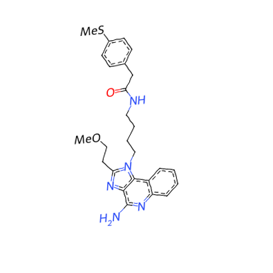 COCCc1nc2c(N)nc3ccccc3c2n1CCCCNC(=O)Cc1ccc(SC)cc1